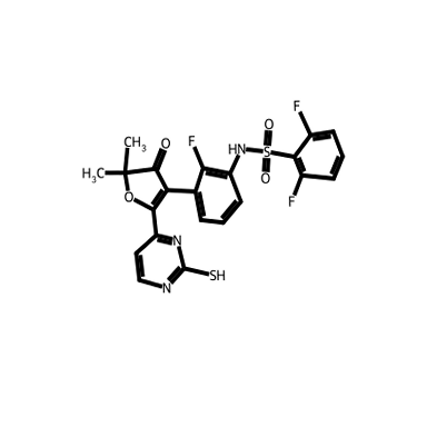 CC1(C)OC(c2ccnc(S)n2)=C(c2cccc(NS(=O)(=O)c3c(F)cccc3F)c2F)C1=O